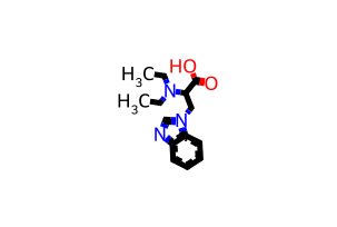 CCN(CC)C(Cn1cnc2ccccc21)C(=O)O